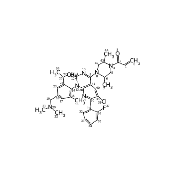 C=CC(=O)N1CC(C)N(c2nc(=O)n(-c3c(C)cc(CN(C)C)cc3C(C)C)c3nc(-c4ccccc4F)c(Cl)cc23)CC1C